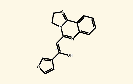 O/C(=C\C1=Nc2ccccc2C2=NCCN12)c1ccoc1